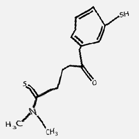 CN(C)C(=S)CCC(=O)c1cccc(S)c1